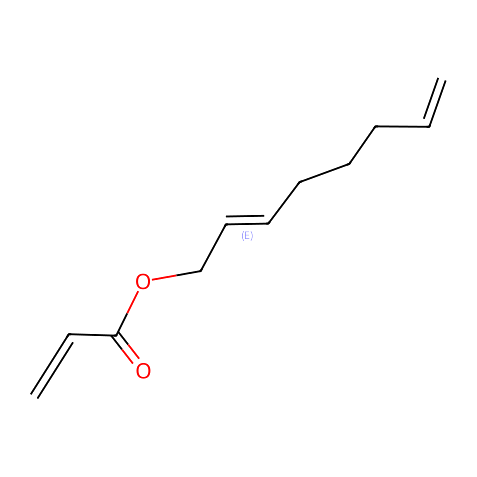 C=CCCC/C=C/COC(=O)C=C